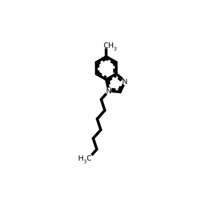 CCCCCCCn1cnc2cc(C)ccc21